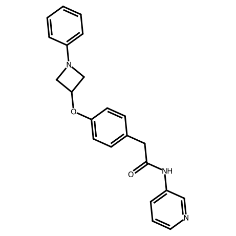 O=C(Cc1ccc(OC2CN(c3ccccc3)C2)cc1)Nc1cccnc1